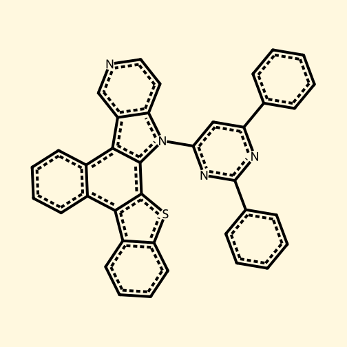 c1ccc(-c2cc(-n3c4ccncc4c4c5ccccc5c5c6ccccc6sc5c43)nc(-c3ccccc3)n2)cc1